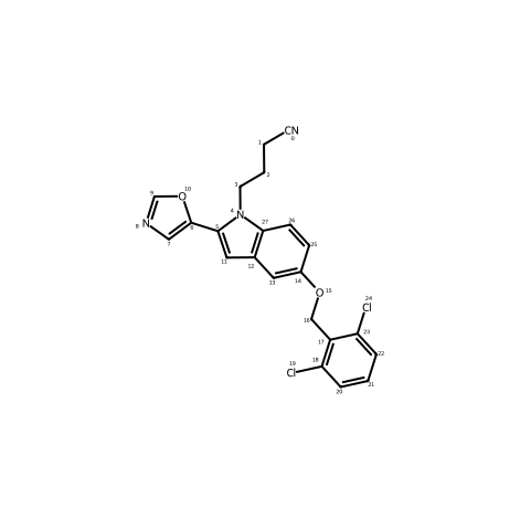 N#CCCCn1c(-c2cnco2)cc2cc(OCc3c(Cl)cccc3Cl)ccc21